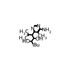 C=C(C)C(c1ncnc(N)c1C)C(O)C(O)C(C)CC